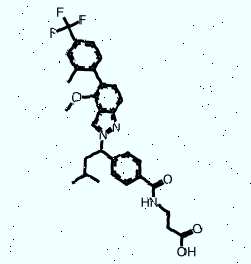 COc1c(-c2ccc(C(F)(F)F)cc2C)ccc2nn(C(CC(C)C)c3ccc(C(=O)NCCC(=O)O)cc3)cc12